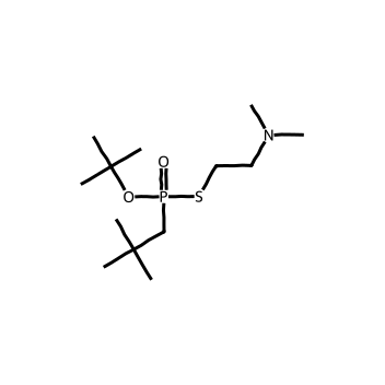 CN(C)CCSP(=O)(CC(C)(C)C)OC(C)(C)C